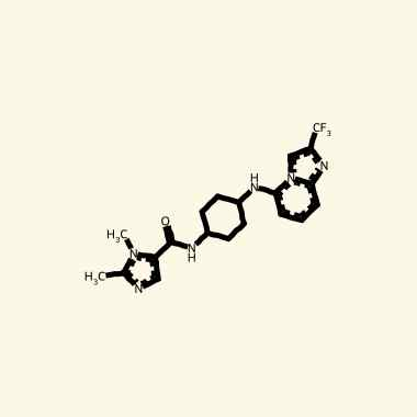 Cc1ncc(C(=O)NC2CCC(Nc3cccc4nc(C(F)(F)F)cn34)CC2)n1C